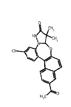 CC(=O)c1ccc2c3c(ccc2c1)OC1N(NC(=O)C1(C)C)c1cc(Cl)ccc1-3